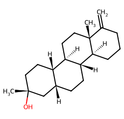 C=C1CCC[C@H]2[C@@H]3CC[C@@H]4C[C@](C)(O)CC[C@@H]4[C@H]3CC[C@]12C